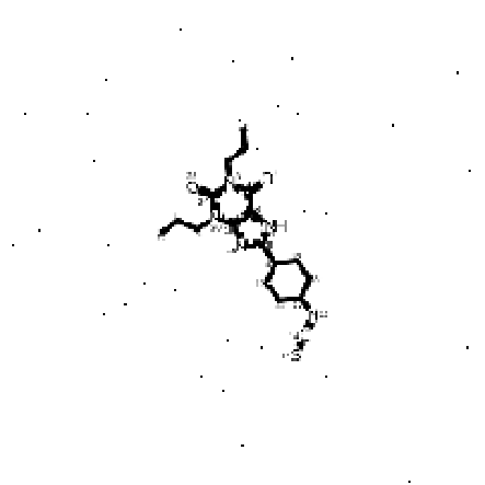 CCCn1c(=O)c2[nH]c(C3CCC(N=C=S)CC3)nc2n(CCC)c1=O